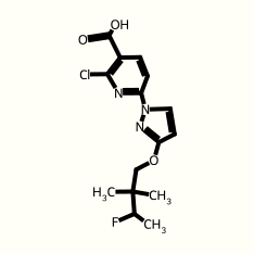 CC(F)C(C)(C)COc1ccn(-c2ccc(C(=O)O)c(Cl)n2)n1